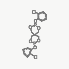 Clc1ccccc1OP1OCC2(CO1)COP(Oc1ccccc1Cl)OC2